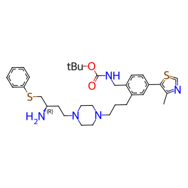 Cc1ncsc1-c1ccc(CNC(=O)OC(C)(C)C)c(CCCN2CCN(CC[C@@H](N)CSc3ccccc3)CC2)c1